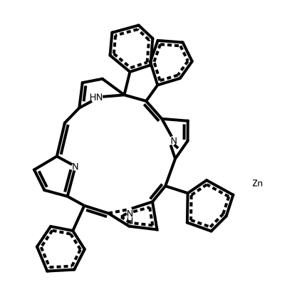 C1=CC2=NC1=CC1=CCC(c3ccccc3)(N1)C(c1ccccc1)=C1C=CC(=N1)C(c1ccccc1)=c1ccc([nH]1)=C2c1ccccc1.[Zn]